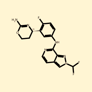 NC1=N[C@H](c2cc(Nc3nccc4cn(C(F)F)nc34)ccc2F)CCO1